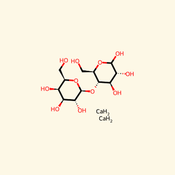 OC[C@H]1O[C@@H](O[C@H]2[C@H](O)[C@@H](O)C(O)O[C@@H]2CO)[C@H](O)[C@@H](O)[C@H]1O.[CaH2].[CaH2]